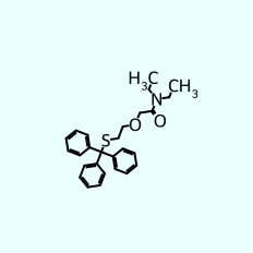 CCN(CC)C(=O)COCCSC(c1ccccc1)(c1ccccc1)c1ccccc1